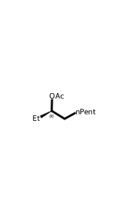 CCCCCC[C@@H](CC)OC(C)=O